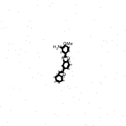 COc1ccc(-c2nc3cc(-c4cc5ccccc5o4)ccc3o2)cc1N